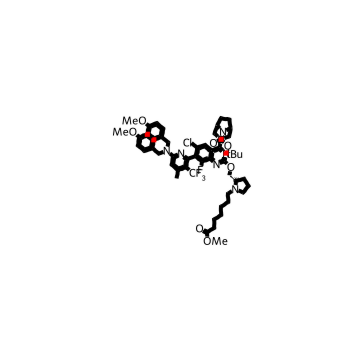 COC(=O)CCCCCCN1CCC[C@H]1COc1nc(N2CC3CCC(C2)N3C(=O)OC(C)(C)C)c2cc(Cl)c(-c3nc(N(Cc4ccc(OC)cc4)Cc4ccc(OC)cc4)cc(C)c3C(F)(F)F)c(F)c2n1